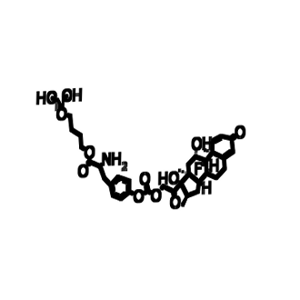 C[C@@H]1C[C@H]2[C@@H]3CCC4=CC(=O)C=C[C@]4(C)[C@@]3(F)[C@@H](O)C[C@]2(C)[C@@]1(O)C(=O)COC(=O)Oc1ccc(C[C@H](N)C(=O)OCCCCON(O)O)cc1